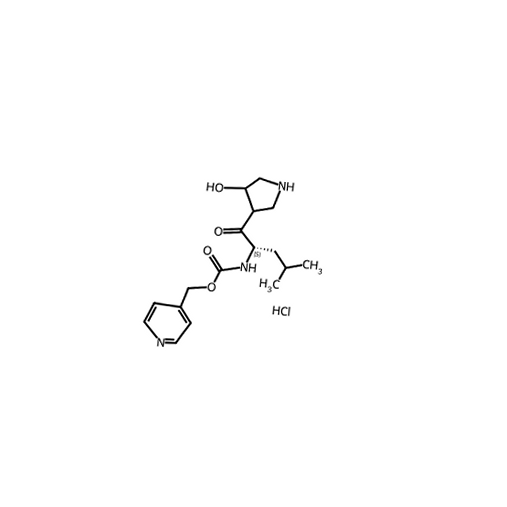 CC(C)C[C@H](NC(=O)OCc1ccncc1)C(=O)C1CNCC1O.Cl